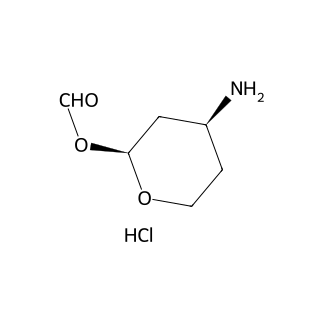 Cl.N[C@H]1CCO[C@@H](OC=O)C1